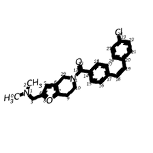 CN(C)Cc1cc2c(o1)CCN(C(=O)c1ccc(/C=C\c3ccc(Cl)cc3)cc1)C2